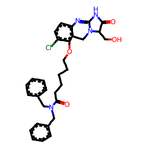 O=C1NC2=Nc3ccc(Cl)c(OCCCCCC(=O)N(Cc4ccccc4)Cc4ccccc4)c3CN2C1CO